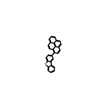 c1cc2ccc3ccc(-c4ccc5sc6ccccc6c5c4)c4ccc(c1)c2c34